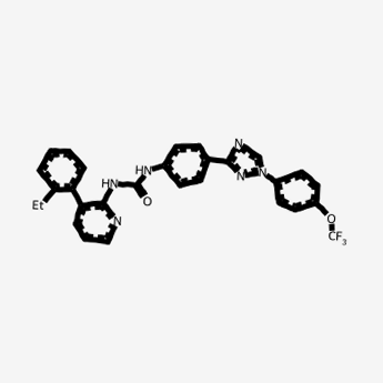 CCc1ccccc1-c1cccnc1NC(=O)Nc1ccc(-c2ncn(-c3ccc(OC(F)(F)F)cc3)n2)cc1